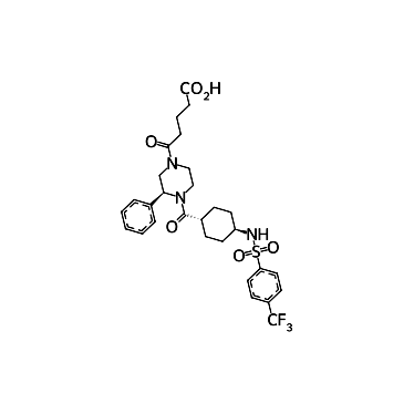 O=C(O)CCCC(=O)N1CCN(C(=O)[C@H]2CC[C@H](NS(=O)(=O)c3ccc(C(F)(F)F)cc3)CC2)[C@@H](c2ccccc2)C1